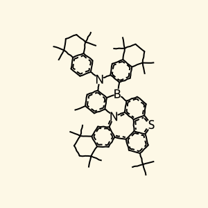 Cc1cc2c3c(c1)-n1c4cc5c(cc4c4cc(C(C)(C)C)cc6sc7ccc(c1c7c64)B3c1cc3c(cc1N2c1ccc2c(c1)C(C)(C)CCC2(C)C)C(C)(C)CCC3(C)C)C(C)(C)CCC5(C)C